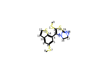 CSC1=C(c2cc(SC)cc3ccsc23)N2CCN=C2S1